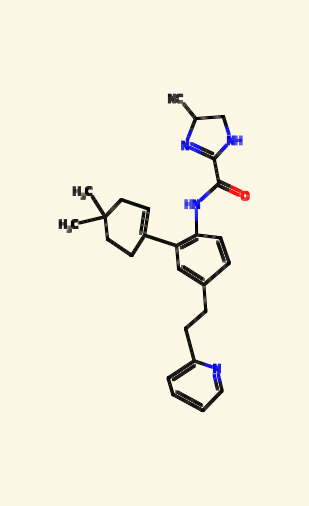 CC1(C)CC=C(c2cc(CCc3ccccn3)ccc2NC(=O)C2=NC(C#N)CN2)CC1